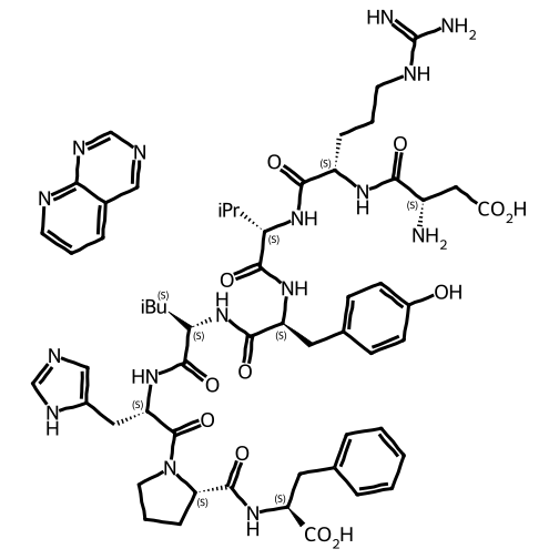 CC[C@H](C)[C@H](NC(=O)[C@H](Cc1ccc(O)cc1)NC(=O)[C@@H](NC(=O)[C@H](CCCNC(=N)N)NC(=O)[C@@H](N)CC(=O)O)C(C)C)C(=O)N[C@@H](Cc1cnc[nH]1)C(=O)N1CCC[C@H]1C(=O)N[C@@H](Cc1ccccc1)C(=O)O.c1cnc2ncncc2c1